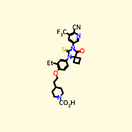 CCc1cc(N2C(=S)N(c3cnc(C#N)c(C(F)(F)F)c3)C(=O)C23CCC3)ccc1OCCC1CCN(C(=O)O)CC1